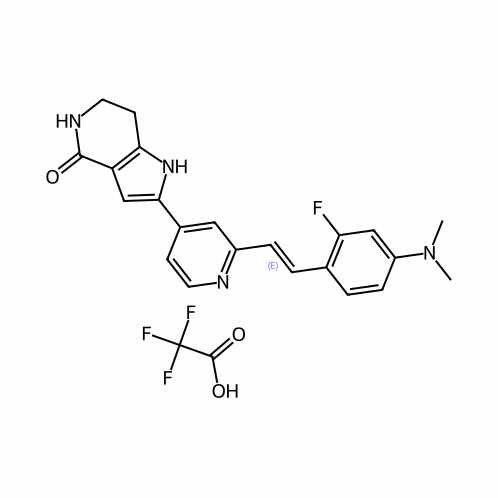 CN(C)c1ccc(/C=C/c2cc(-c3cc4c([nH]3)CCNC4=O)ccn2)c(F)c1.O=C(O)C(F)(F)F